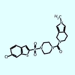 Cn1cc2c(c1)CN(C(=O)N1CCN(S(=O)(=O)c3cc4ccc(Cl)cc4s3)CC1)CC2